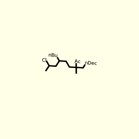 CCCCCCCCCCCC(C)(CCC(CCCC)CC(C)Cl)C(C)=O